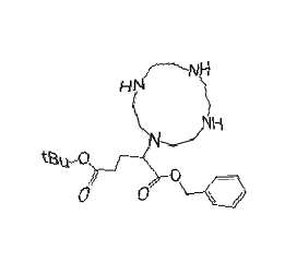 CC(C)(C)OC(=O)CCC(C(=O)OCc1ccccc1)N1CCNCCNCCNCC1